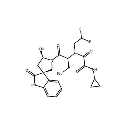 CC(C)(C)C[C@@H](C(=O)N1C[C@]2(C[C@H]1C#N)C(=O)Nc1ccccc12)N(CC(F)F)C(=O)C(=O)NC1CC1